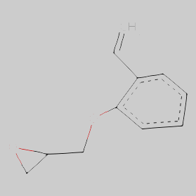 C=Cc1ccccc1OCC1CO1